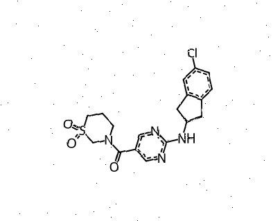 O=C(c1cnc(NC2Cc3ccc(Cl)cc3C2)nc1)N1CCCS(=O)(=O)C1